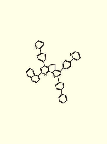 c1ccc(-c2ccc(-c3cc(-c4ccc(-c5ccccn5)cc4)c4ccc5c(-c6ccc(-c7ccccn7)cc6)cc(-c6cccc7ccccc67)nc5c4n3)cc2)cc1